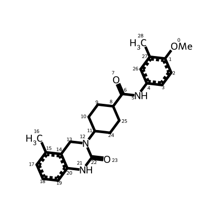 COc1ccc(NC(=O)C2CCC(N3Cc4c(C)cccc4NC3=O)CC2)cc1C